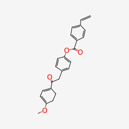 C=Cc1ccc(C(=O)Oc2ccc(CC(=O)C3=CC=C(OC)CC3)cc2)cc1